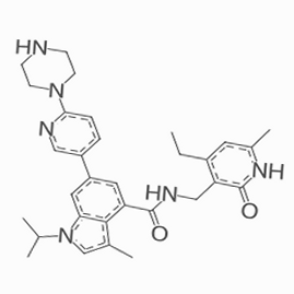 CCc1cc(C)[nH]c(=O)c1CNC(=O)c1cc(-c2ccc(N3CCNCC3)nc2)cc2c1c(C)cn2C(C)C